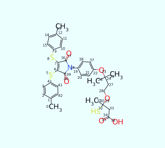 Cc1ccc(SC2=C(Sc3ccc(C)cc3)C(=O)N(c3ccc(OC(C)(C)CCOC(C)(S)CC(=O)O)cc3)C2=O)cc1